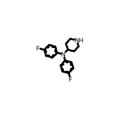 Fc1ccc(N(c2ccc(F)cc2)C2CCNCC2)cc1